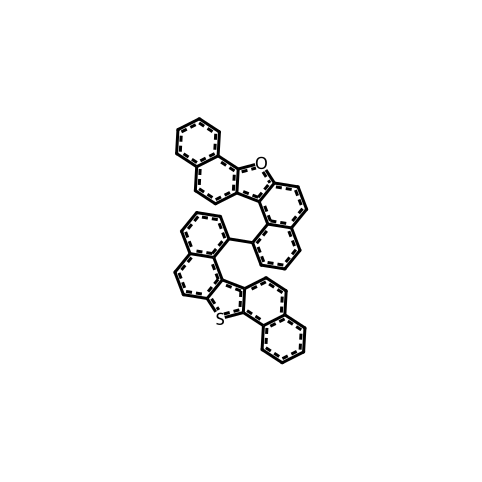 c1ccc2c(c1)ccc1c2oc2ccc3cccc(-c4cccc5ccc6sc7c8ccccc8ccc7c6c45)c3c21